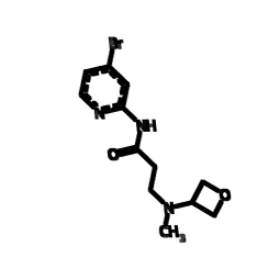 CN(CCC(=O)Nc1cc(Br)ccn1)C1COC1